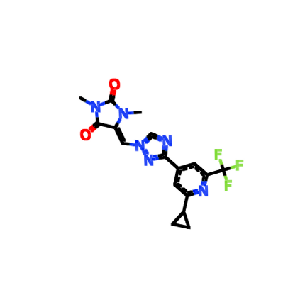 CN1C(=O)C(=Cn2cnc(-c3cc(C4CC4)nc(C(F)(F)F)c3)n2)N(C)C1=O